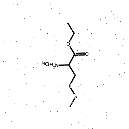 CCOC(=O)C(N)CCSC.Cl